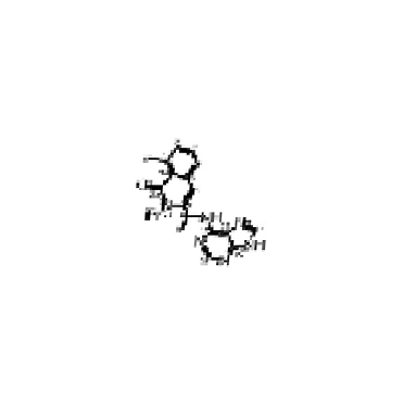 Cc1cccc2cc(C(C)Nc3ncnc4[nH]cnc34)n(C(C)C)c(=O)c12